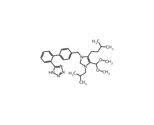 COC(OC)C1=C(CCC(C)C)N(Cc2ccc(-c3ccccc3-c3nnn[nH]3)cc2)CN1CC(C)C